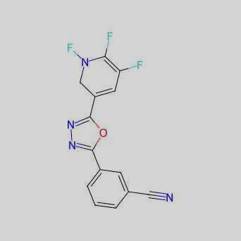 N#Cc1cccc(-c2nnc(C3=CC(F)=C(F)N(F)C3)o2)c1